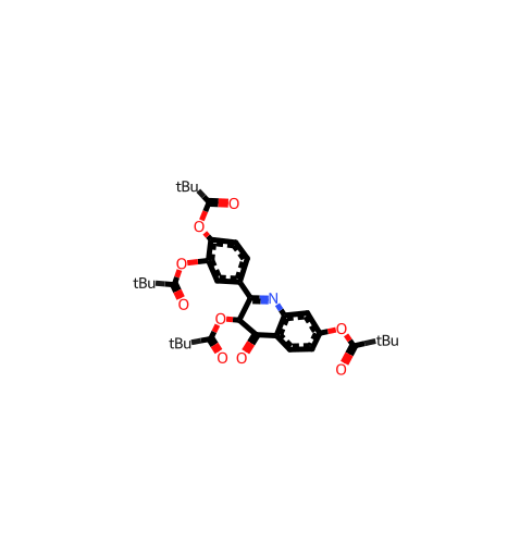 CC(C)(C)C(=O)Oc1ccc2c(c1)N=C(c1ccc(OC(=O)C(C)(C)C)c(OC(=O)C(C)(C)C)c1)C(OC(=O)C(C)(C)C)C2=O